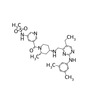 CCc1cnc(Nc2cc(C)cc(C)c2)nc1CN[C@@H]1CCN(C(=O)c2cncc(NS(C)(=O)=O)c2)[C@H](C)C1